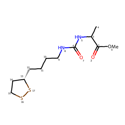 COC(=O)C(C)NC(=O)NCCCC[C@H]1CCSS1